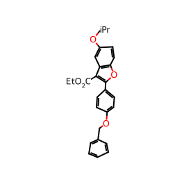 CCOC(=O)c1c(-c2ccc(OCc3ccccc3)cc2)oc2ccc(OC(C)C)cc12